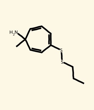 CCCSSC1=CC=CC(C)(N)C=C1